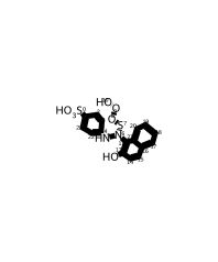 O=S(=O)(O)c1ccc(NN(SOOO)c2c(O)ccc3ccccc23)cc1